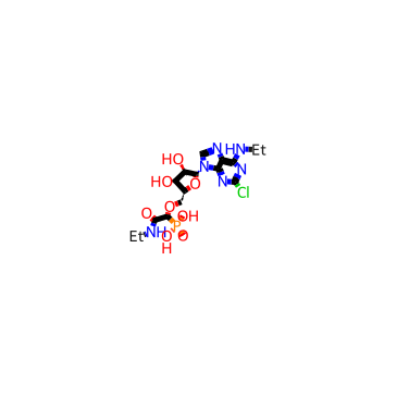 CCNC(=O)C(OC[C@H]1O[C@@H](n2cnc3c(NCC)nc(Cl)nc32)[C@H](O)[C@@H]1O)P(=O)(O)O